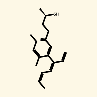 C=CC(=C/C=C\C)/C(=C/C(=C)CC[C@@H](C)S)C(/C)=C\CC